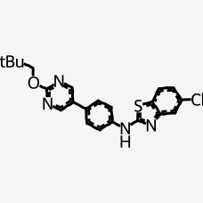 CC(C)(C)COc1ncc(-c2ccc(Nc3nc4cc(Cl)ccc4s3)cc2)cn1